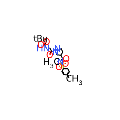 Cc1ccc(S(=O)(=O)N(C)C(=O)C2CC=NN(C(=O)CNC(=O)OC(C)(C)C)C2)cc1